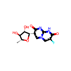 C[C@H]1O[C@@H](c2cn3cc(F)c(=O)[nH]c3nc2=O)[C@@H](O)C1O